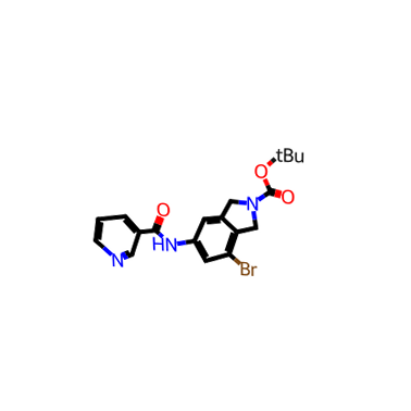 CC(C)(C)OC(=O)N1Cc2cc(NC(=O)c3cccnc3)cc(Br)c2C1